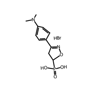 Br.CN(C)c1ccc(C2=NOC(P(=O)(O)O)C2)cc1